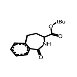 CC(C)(C)OC(=O)C1CCc2ccccc2C(=O)N1